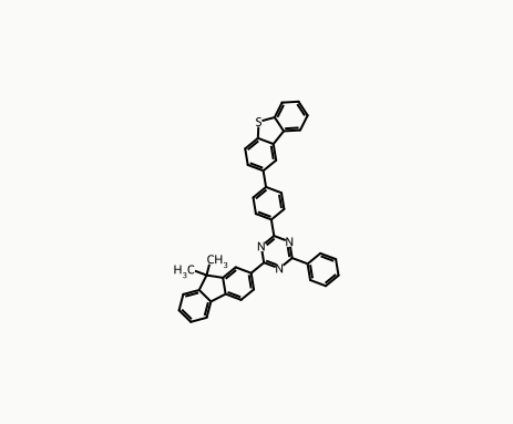 CC1(C)c2ccccc2-c2ccc(-c3nc(-c4ccccc4)nc(-c4ccc(-c5ccc6sc7ccccc7c6c5)cc4)n3)cc21